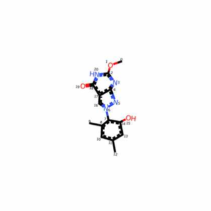 COc1nc2nn(-c3c(C)cc(C)cc3O)cc2c(=O)[nH]1